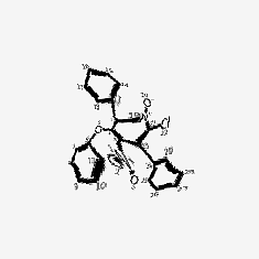 O=[N+]([O-])c1c(Oc2ccccc2)c(-c2ccccc2)[n+]([O-])c(Cl)c1-c1ccccc1